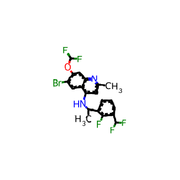 Cc1cc(NC(C)c2cccc(C(F)F)c2F)c2cc(Br)c(OC(F)F)cc2n1